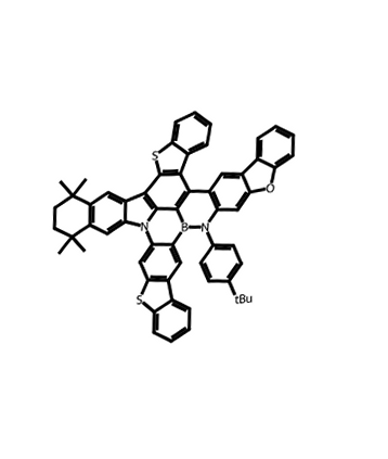 CC(C)(C)c1ccc(N2B3c4cc5c(cc4-n4c6cc7c(cc6c6c8sc9ccccc9c8c(c3c64)-c3cc4c(cc32)oc2ccccc24)C(C)(C)CCC7(C)C)sc2ccccc25)cc1